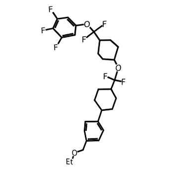 CCOCc1ccc(C2CCC(C(F)(F)OC3CCC(C(F)(F)Oc4cc(F)c(F)c(F)c4)CC3)CC2)cc1